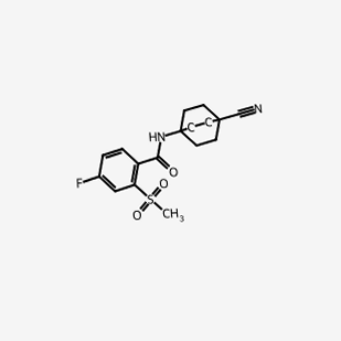 CS(=O)(=O)c1cc(F)ccc1C(=O)NC12CCC(C#N)(CC1)CC2